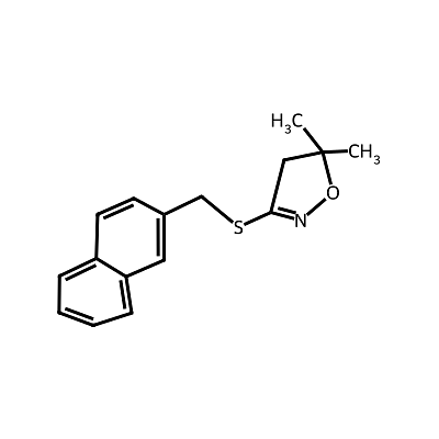 CC1(C)CC(SCc2ccc3ccccc3c2)=NO1